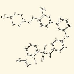 Cc1cc(-c2cc(Nc3ccc(NS(=O)(=O)c4ccccc4F)cc3)ncn2)ccc1OCC1CCN(C)CC1.O=CO